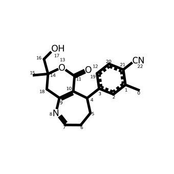 Cc1cc(C2CCC=NC3=C2C(=O)OC(C)(CO)C3)ccc1C#N